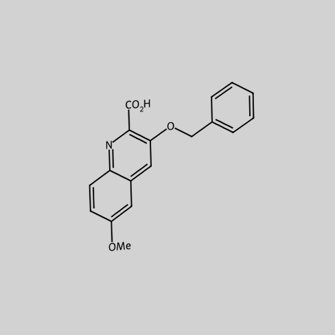 COc1ccc2nc(C(=O)O)c(OCc3ccccc3)cc2c1